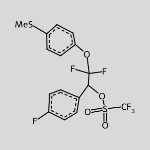 CSc1ccc(OC(F)(F)C(OS(=O)(=O)C(F)(F)F)c2ccc(F)cc2)cc1